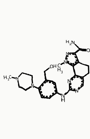 CN1CCN(c2ccc(Nc3ncc4c(n3)-c3c(c(C(N)=O)nn3C)CC4)cc2CO)CC1